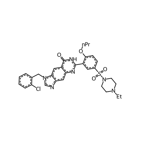 CCCOc1ccc(S(=O)(=O)N2CCN(CC)CC2)cc1-c1nc2cc3ncn(Cc4ccccc4Cl)c3cc2c(=O)[nH]1